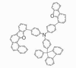 c1ccc(C2(c3ccc(N(c4ccc(-c5cccc6c5oc5ccccc56)cc4)c4ccc(-c5cccc6c5oc5c6ccc6ccc7ccccc7c65)cc4)cc3)c3ccccc3-c3ccccc32)cc1